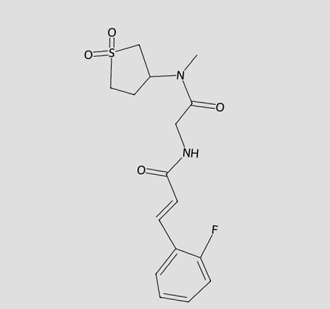 CN(C(=O)CNC(=O)/C=C/c1ccccc1F)C1CCS(=O)(=O)C1